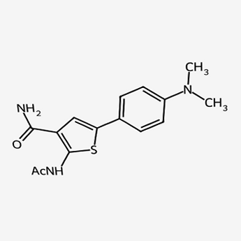 CC(=O)Nc1sc(-c2ccc(N(C)C)cc2)cc1C(N)=O